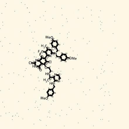 COc1ccc(CNc2nccnc2C(C)NCCOc2c(Cl)c(-c3nc(N(Cc4ccc(OC)cc4)Cc4ccc(OC)cc4)cc(C)c3C(F)(F)F)c(F)c3nc(Cl)[nH]c(=O)c23)cc1